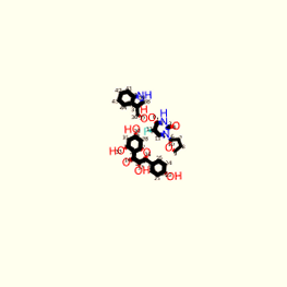 O=c1[nH]c(=O)n(C2CCCO2)cc1F.O=c1c(O)c(-c2ccc(O)cc2)oc2cc(O)cc(O)c12.OCc1c[nH]c2ccccc12